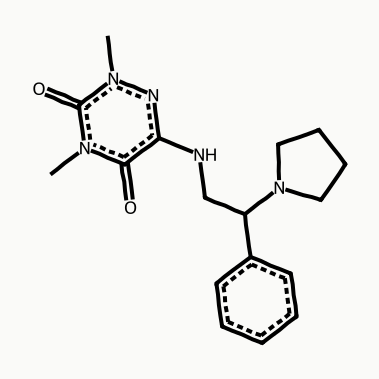 Cn1nc(NCC(c2ccccc2)N2CCCC2)c(=O)n(C)c1=O